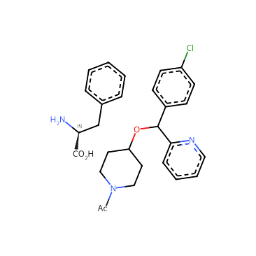 CC(=O)N1CCC(OC(c2ccc(Cl)cc2)c2ccccn2)CC1.N[C@@H](Cc1ccccc1)C(=O)O